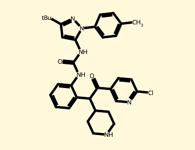 Cc1ccc(-n2nc(C(C)(C)C)cc2NC(=O)Nc2ccccc2C(C(=O)c2ccc(Cl)nc2)C2CCNCC2)cc1